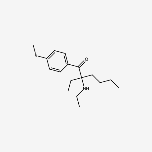 CCCCC(CC)(NCC)C(=O)c1ccc(SC)cc1